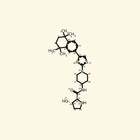 CC1(C)CCC(C)(C)c2cc(-c3csc(N4CCC(NC(=O)[C@H]5NCC[C@@H]5O)CC4)n3)ccc21